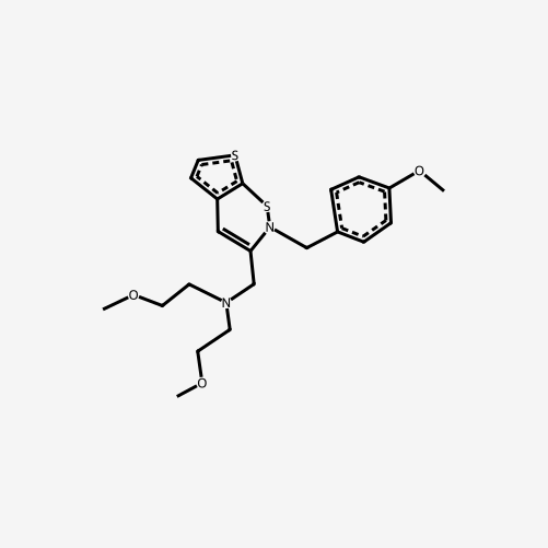 COCCN(CCOC)CC1=Cc2ccsc2SN1Cc1ccc(OC)cc1